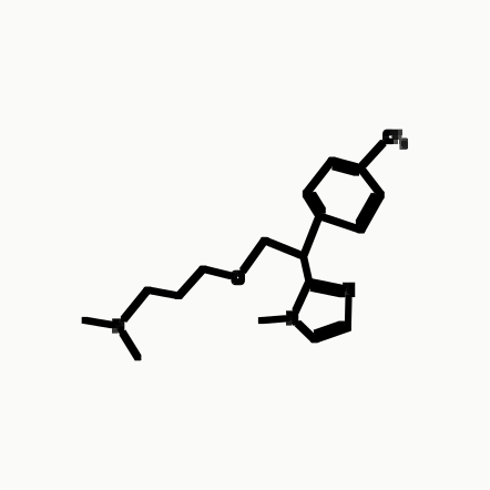 CN(C)CCCOCC(c1ccc(C(F)(F)F)cc1)c1nccn1C